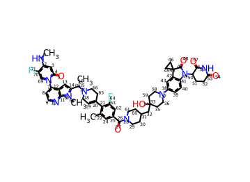 CNc1cc(=O)n(-c2ccnc3c2cc([C@H](C)N2CC=C(c4c(C)cc(C(=O)N5CCC(CC6(O)CCN(c7ccc8c(c7)C7(CC7)C(=O)N8C7CCC(=O)NC7=O)CC6)CC5)cc4F)CC2)n3C)cc1F